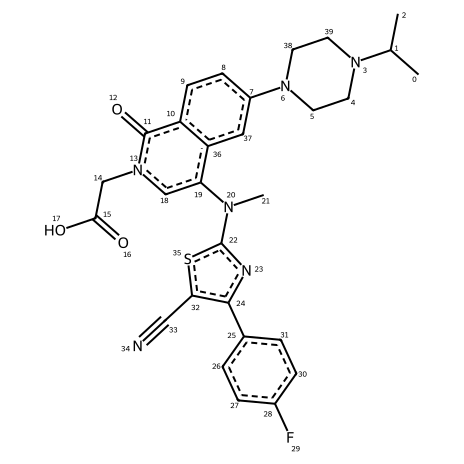 CC(C)N1CCN(c2ccc3c(=O)n(CC(=O)O)cc(N(C)c4nc(-c5ccc(F)cc5)c(C#N)s4)c3c2)CC1